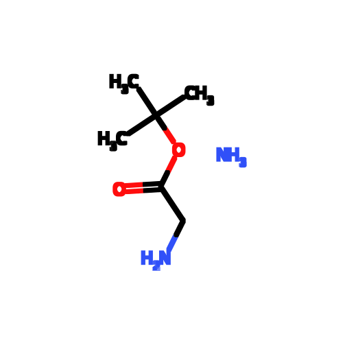 CC(C)(C)OC(=O)CN.N